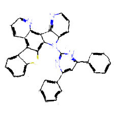 c1ccc(-c2cc(-c3ccccc3)nc(-n3c4cccnc4c4c5ncccc5c5c6ccccc6sc5c43)n2)cc1